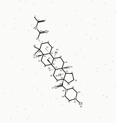 C=C(C)OC(=O)C[C@@H]1CC[C@]2(C)[C@H](CC[C@]3(C)[C@@H]2CC[C@@H]2[C@H]4CCC[C@]4(C(=O)N4CCN(CC)CC4)CC[C@]23C)C1(C)C